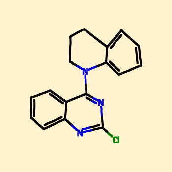 Clc1nc(N2CCCc3ccccc32)c2ccccc2n1